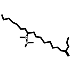 C=C(CCC)CCCCCCCCC(CCCCCCC)N(C)N(C)C